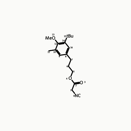 [C-]#[N+]CC(=O)OCCCc1cc(C)c(OC)c(C(C)(C)C)c1